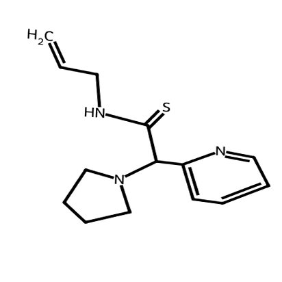 C=CCNC(=S)C(c1ccccn1)N1CCCC1